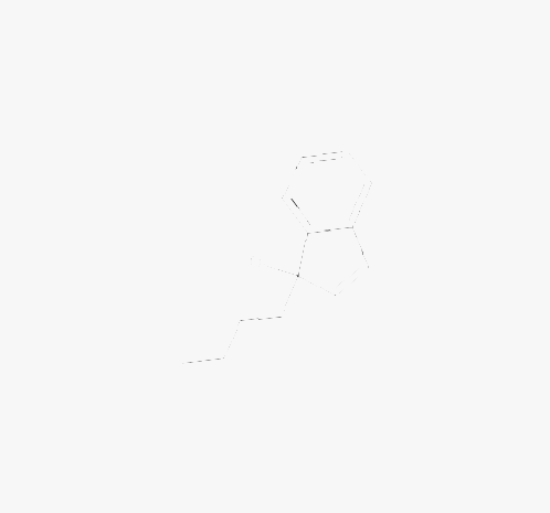 CCCCC1([O])C=Cc2ccccc21